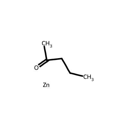 CCCC(C)=O.[Zn]